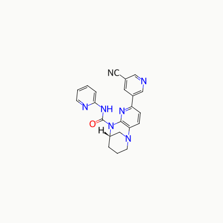 N#Cc1cncc(-c2ccc3c(n2)N(C(=O)Nc2ccccn2)[C@H]2CCCN3C2)c1